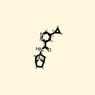 CN1C2CCC1CC(NC(=O)c1cc(C3CC3)cnn1)C2